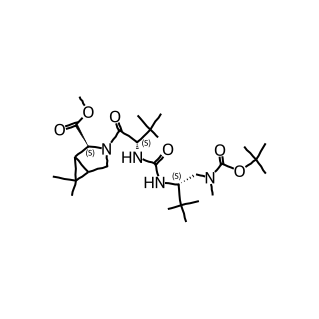 COC(=O)[C@@H]1C2C(CN1C(=O)[C@@H](NC(=O)N[C@H](CN(C)C(=O)OC(C)(C)C)C(C)(C)C)C(C)(C)C)C2(C)C